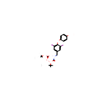 CC(C)(C)OC(=O)ON(Cc1cc(I)c(Oc2ccc(O)cc2)c(I)c1)C(=O)OC(C)(C)C